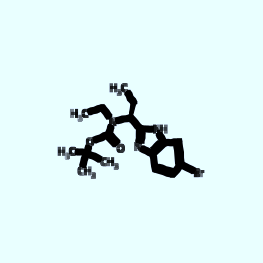 CC[C@@H](c1nc2ccc(Br)cc2[nH]1)N(CC)C(=O)OC(C)(C)C